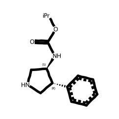 CC(C)OC(=O)N[C@@H]1CNC[C@H]1c1ccccc1